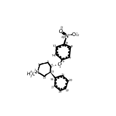 CN1CC[C@H](Oc2ccc([N+](=O)[O-])cc2)[C@@H](c2ccccc2)C1